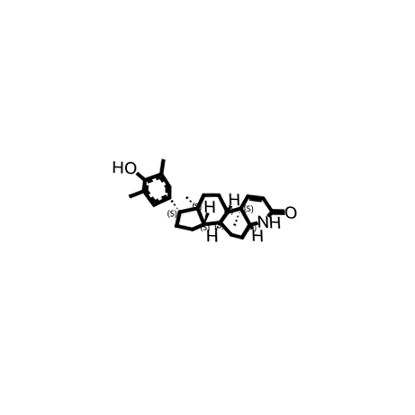 Cc1cc([C@H]2CC[C@H]3[C@@H]4CC[C@H]5NC(=O)C=C[C@]5(C)[C@H]4CC[C@]23C)cc(C)c1O